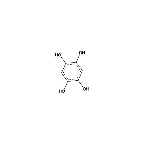 Oc1[c]c(O)c(O)cc1O